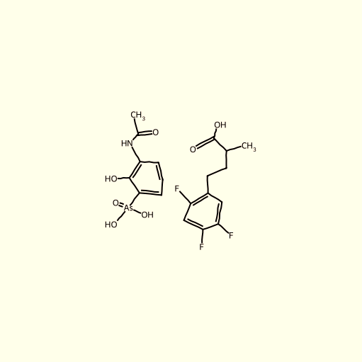 CC(=O)Nc1cccc([As](=O)(O)O)c1O.CC(CCc1cc(F)c(F)cc1F)C(=O)O